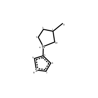 CC1CCN(c2ccsc2)C1